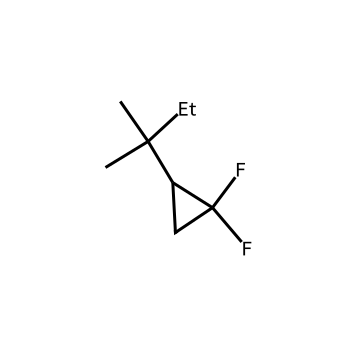 CCC(C)(C)C1CC1(F)F